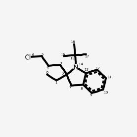 CCC1(CCCCl)Cc2ccccc2N1C(C)(C)C